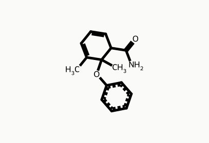 CC1=CC=CC(C(N)=O)C1(C)Oc1ccccc1